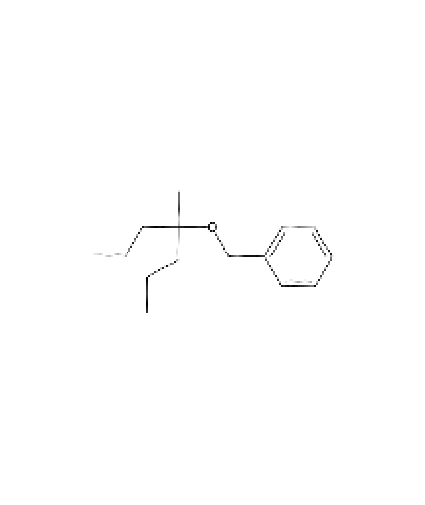 CCCC(C)(CCC)OCc1ccccc1